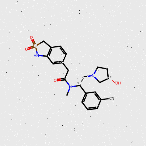 CN(C(=O)Cc1ccc2c(c1)NS(=O)(=O)C2)[C@H](CN1CC[C@H](O)C1)c1cccc(C#N)c1